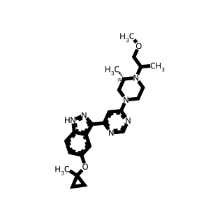 COCC(C)N1CCN(c2cc(-c3n[nH]c4ccc(OC5(C)CC5)cc34)ncn2)C[C@@H]1C